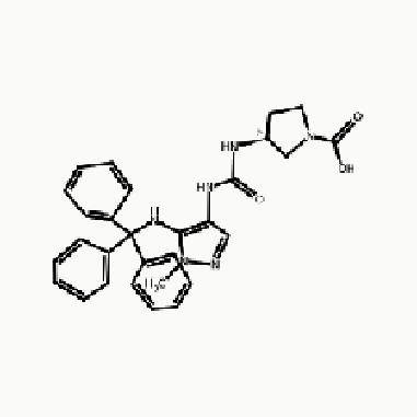 Cn1ncc(NC(=O)N[C@H]2CCN(C(=O)O)C2)c1NC(c1ccccc1)(c1ccccc1)c1ccccc1